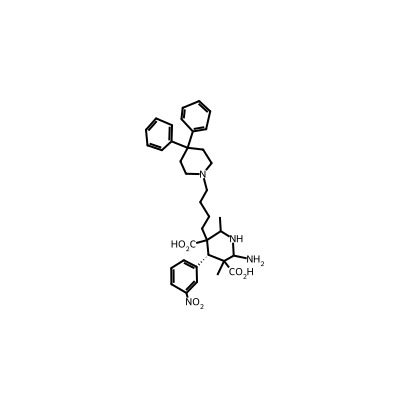 CC1NC(N)C(C)(C(=O)O)[C@H](c2cccc([N+](=O)[O-])c2)C1(CCCCN1CCC(c2ccccc2)(c2ccccc2)CC1)C(=O)O